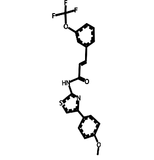 COc1ccc(-c2csc(NC(=O)C=Cc3cccc(OC(F)(F)F)c3)n2)cc1